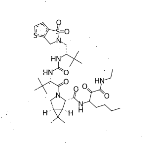 CCCCC(NC(=O)[C@@H]1[C@@H]2[C@H](CN1C(=O)[C@@H](NC(=O)N[C@H](CN1Cc3sccc3S1(=O)=O)C(C)(C)C)C(C)(C)C)C2(C)C)C(=O)C(=O)NCC